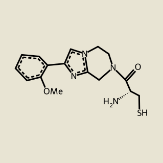 COc1ccccc1-c1cn2c(n1)CN(C(=O)[C@@H](N)CS)CC2